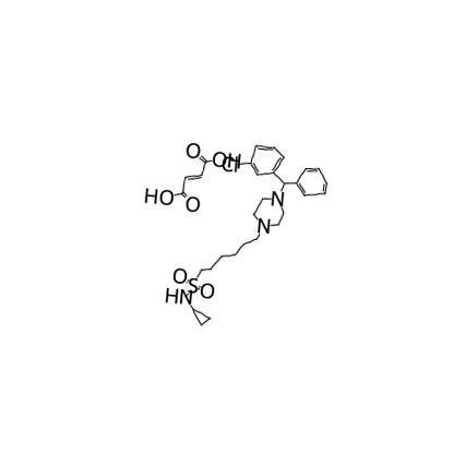 O=C(O)/C=C/C(=O)O.O=S(=O)(CCCCCCN1CCN(C(c2ccccc2)c2cccc(Cl)c2)CC1)NC1CC1